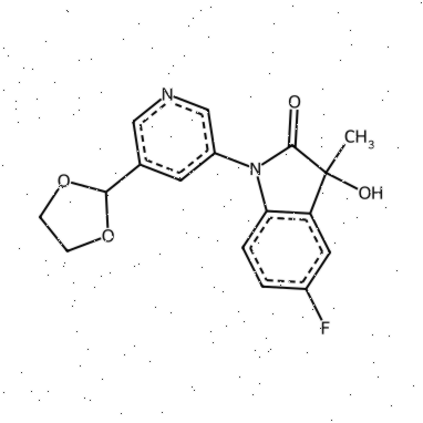 CC1(O)C(=O)N(c2cncc(C3OCCO3)c2)c2ccc(F)cc21